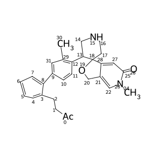 CC(=O)CCc1ccccc1-c1ccc(C2CNCCC23OCc2cn(C)c(=O)cc23)c(C)c1